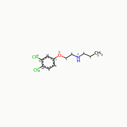 CCCNCCOc1ccc(Cl)c(Cl)c1